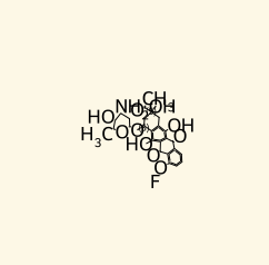 CC(=O)[C@]1(O)Cc2c(O)c3c(c(O)c2[C@@H](OC2CC(N)C(O)C(C)O2)C1)C(=O)c1c(OCF)cccc1C3=O